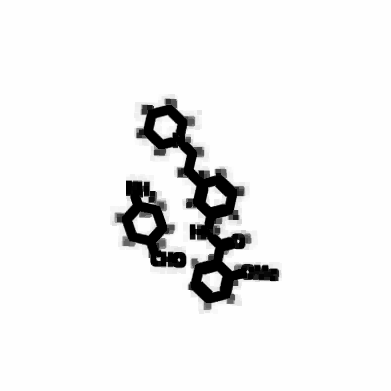 COc1ccccc1C(=O)Nc1cccc(CCN2CCCCC2)c1.NC1CCC(C=O)CC1